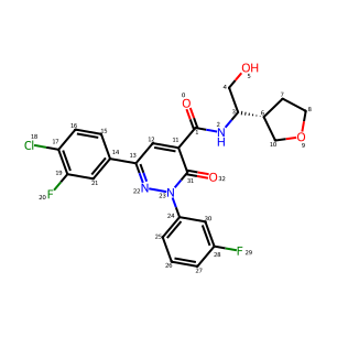 O=C(NC(CO)[C@@H]1CCOC1)c1cc(-c2ccc(Cl)c(F)c2)nn(-c2cccc(F)c2)c1=O